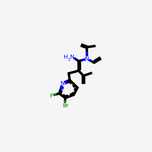 C=CN(C(=C)C)/C(N)=C(/Cc1ccc(Br)c(F)n1)C(=C)C